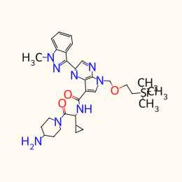 Cn1nc(-c2cnc3c(n2)c(C(=O)N[C@@H](C(=O)N2CCC(N)CC2)C2CC2)cn3COCC[Si](C)(C)C)c2ccccc21